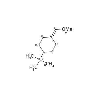 COC=C1CCC([Si](C)(C)C)CC1